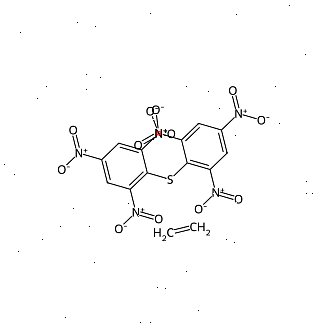 C=C.O=[N+]([O-])c1cc([N+](=O)[O-])c(Sc2c([N+](=O)[O-])cc([N+](=O)[O-])cc2[N+](=O)[O-])c([N+](=O)[O-])c1